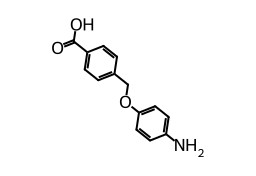 Nc1ccc(OCc2ccc(C(=O)O)cc2)cc1